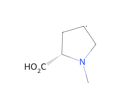 CN1C[CH]C[C@H]1C(=O)O